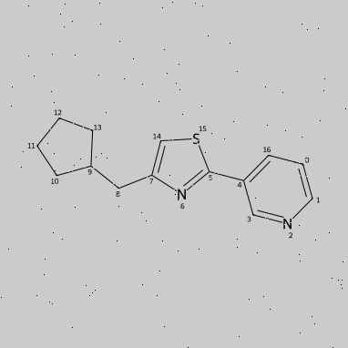 c1cncc(-c2nc(CC3CCCC3)cs2)c1